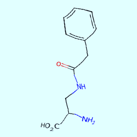 NC(CNC(=O)Cc1ccccc1)C(=O)O